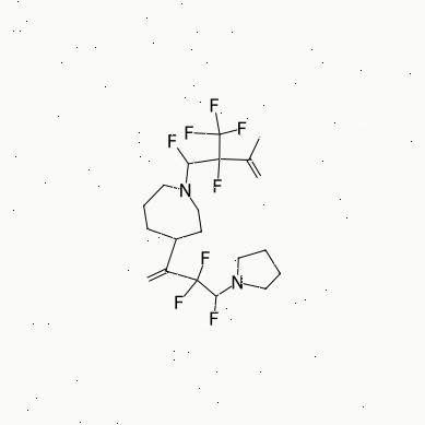 C=C(C1CCCN(C(F)C(F)(C(=C)C)C(F)(F)F)CC1)C(F)(F)C(F)N1CCCC1